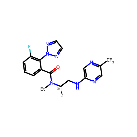 CCN(C(=O)c1cccc(F)c1-n1nccn1)[C@@H](C)CNc1cnc(C(F)(F)F)cn1